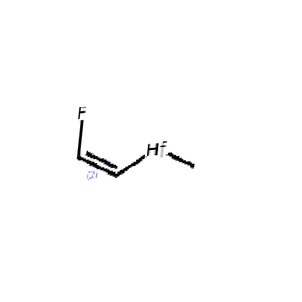 [CH3][Hf]/[CH]=C\F